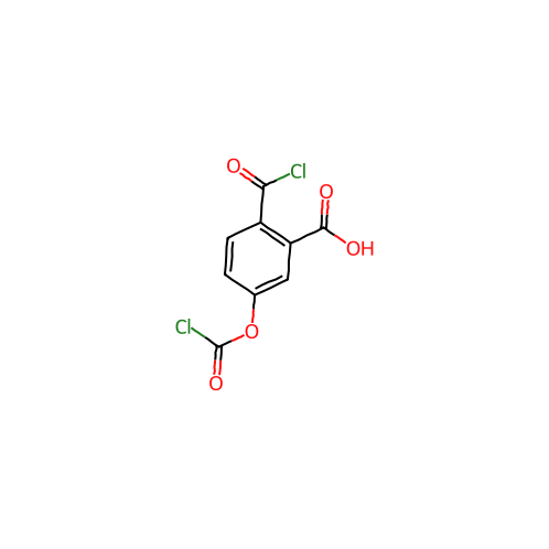 O=C(Cl)Oc1ccc(C(=O)Cl)c(C(=O)O)c1